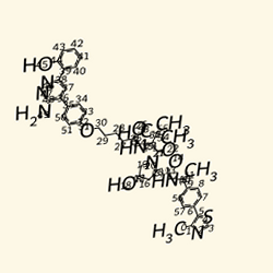 Cc1ncsc1-c1ccc([C@H](C)NC(=O)[C@@H]2C[C@@H](O)CN2C(=O)[C@@H](NC(=O)CCCCOc2ccc(-c3cc(-c4ccccc4O)nnc3N)cc2)C(C)(C)C)cc1